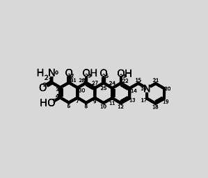 NC(=O)C1=C(O)CC2CC3Cc4ccc(CN5CC=CCC5)c(O)c4C(=O)C3=C(O)C2C1=O